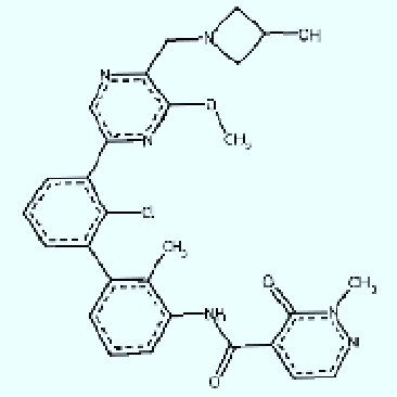 COc1nc(-c2cccc(-c3cccc(NC(=O)c4ccnn(C)c4=O)c3C)c2Cl)cnc1CN1CC(O)C1